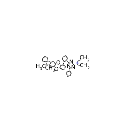 C=C/C=C(\C=C)c1nc(-c2ccccc2)nc(-c2ccccc2-c2cccc3c2Oc2cc4c(cc2O3)C(C)(C)c2ccccc2-4)n1